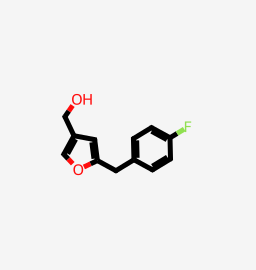 OCc1coc(Cc2ccc(F)cc2)c1